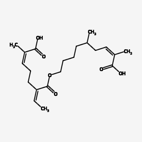 CC=C(CCC=C(C)C(=O)O)C(=O)OCCCCC(C)CC=C(C)C(=O)O